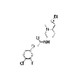 C=C(OCC)[C@H]1CC[C@H](NC(=O)COc2ccc(Cl)c(F)c2)CN1C